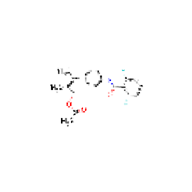 CC(=O)OCC(C)=C(C)c1ccc(NC(=O)c2c(F)cccc2F)cc1